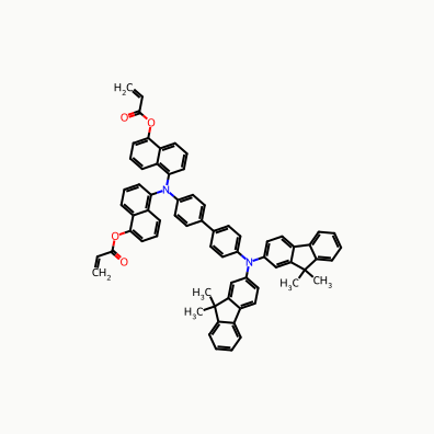 C=CC(=O)Oc1cccc2c(N(c3ccc(-c4ccc(N(c5ccc6c(c5)C(C)(C)c5ccccc5-6)c5ccc6c(c5)C(C)(C)c5ccccc5-6)cc4)cc3)c3cccc4c(OC(=O)C=C)cccc34)cccc12